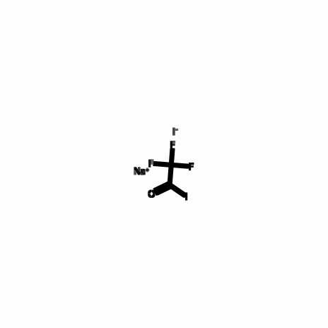 O=C(I)C(F)(F)F.[I-].[Na+]